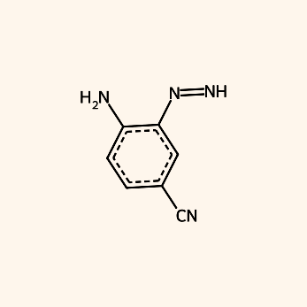 N#Cc1ccc(N)c(N=N)c1